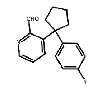 O=Cc1ncccc1C1(c2ccc(F)cc2)CCCC1